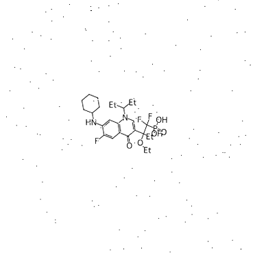 CCOC(CC)(c1cn(C(CC)CC)c2cc(NC3CCCCC3)c(F)cc2c1=O)C(F)(F)P(=O)(O)O